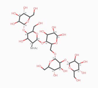 CC(=O)N[C@H]1C(O)[C@@H](O[C@H]2OC(CO)[C@@H](O)[C@H](O)C2O)C(CO)O[C@H]1O[C@@H]1C(CO[C@H]2OC(CO)[C@@H](O)[C@H](O)C2O[C@H]2OC(CO)[C@@H](O)[C@H](O)C2O)O[C@H](O)[C@H](O)C1O